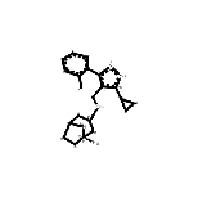 Cc1ccccc1-c1noc(C2CC2)c1COC1CC2CC[C@@H](C1)N2